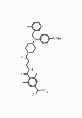 COc1ccc(N(Cc2cnccc2C)C2CCN([C@H](C)CCNC(=O)c3c(C)cc(C(N)C(C)=O)cc3C)CC2)cc1